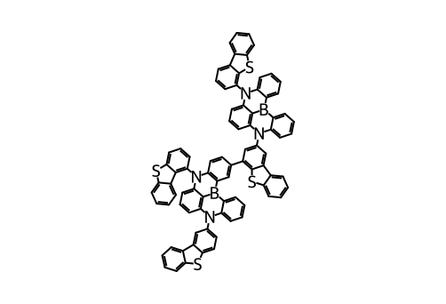 c1ccc2c(c1)B1c3ccccc3N(c3cccc4c3sc3ccccc34)c3cccc(c31)N2c1cc(-c2ccc3c(c2)B2c4ccccc4N(c4ccc5sc6ccccc6c5c4)c4cccc(c42)N3c2cccc3sc4ccccc4c23)c2sc3ccccc3c2c1